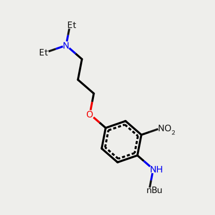 CCCCNc1ccc(OCCCN(CC)CC)cc1[N+](=O)[O-]